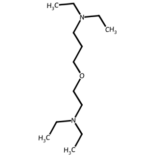 CCN(CC)CCCOCCN(CC)CC